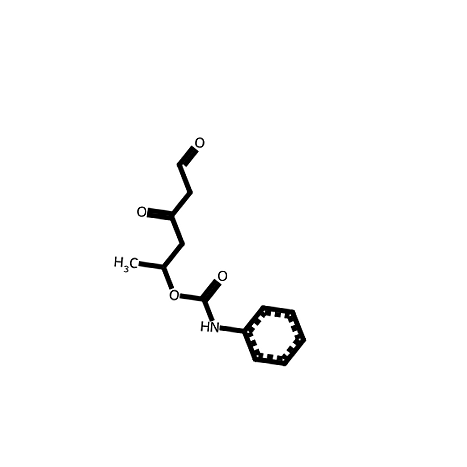 CC(CC(=O)CC=O)OC(=O)Nc1ccccc1